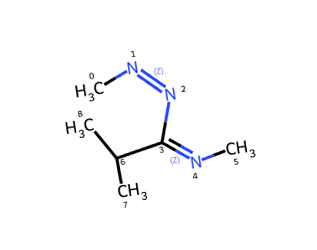 C/N=N\C(=N/C)C(C)C